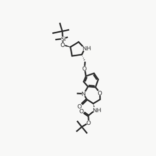 CN1C(=O)[C@@H](NC(=O)OC(C)(C)C)COc2ccc(OC[C@@H]3C[C@@H](O[Si](C)(C)C(C)(C)C)CN3)cc21